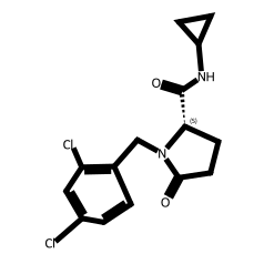 O=C(NC1CC1)[C@@H]1CCC(=O)N1Cc1ccc(Cl)cc1Cl